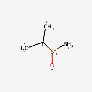 B[S+]([O-])C(C)C